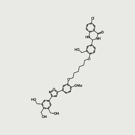 COc1ccc(-c2cc(-c3cc(CO)c(CO)c(CO)c3)no2)cc1OCCCCCCOc1ccc(C2NC(=O)c3cc(Cl)ccc3N2)cc1CO